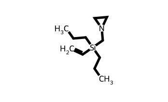 C=C[Si](CCC)(CCC)CN1CC1